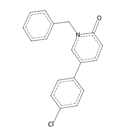 O=c1ccc(-c2ccc(Cl)cc2)cn1Cc1ccccc1